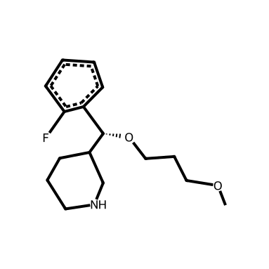 COCCCO[C@@H](c1ccccc1F)C1CCCNC1